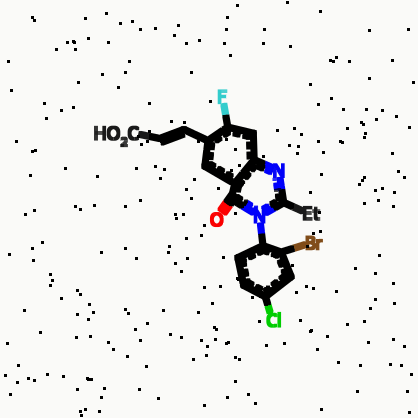 CCc1nc2cc(F)c(C=CC(=O)O)cc2c(=O)n1-c1ccc(Cl)cc1Br